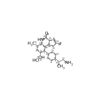 Cc1cc(O)c(-c2ccc(C(C)CN)cc2)c2c1[nH]c(=O)c1sc(F)cc12.Cl